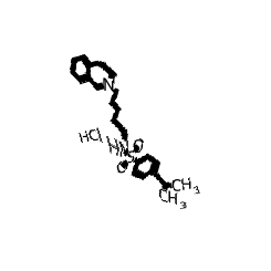 CC(C)c1ccc(S(=O)(=O)NCCCCCN2CCc3ccccc3C2)cc1.Cl